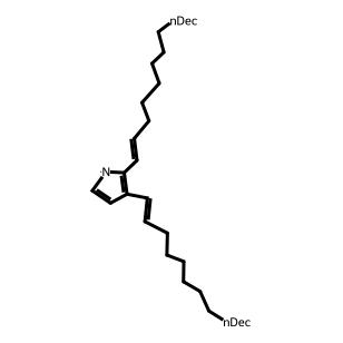 CCCCCCCCCCCCCCCC/C=C/C1=C(/C=C/CCCCCCCCCCCCCCCC)[N]C=C1